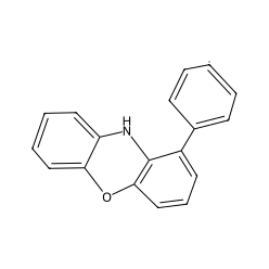 [c]1ccc(-c2cccc3c2Nc2ccccc2O3)cc1